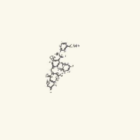 COc1ccnc(NC(=O)c2ccc(CN3C(=O)c4ncc(Cl)cc4NC(=O)[C@H]3Cc3ccccn3)cc2Cl)c1